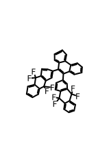 FC1(F)c2ccccc2C(F)(F)c2cc(-c3c(-c4ccc5c(c4)C(F)(F)c4ccccc4C5(F)F)c4ccccc4c4ccccc34)ccc21